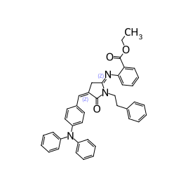 CCOC(=O)c1ccccc1/N=C1/C/C(=C/c2ccc(N(c3ccccc3)c3ccccc3)cc2)C(=O)N1CCc1ccccc1